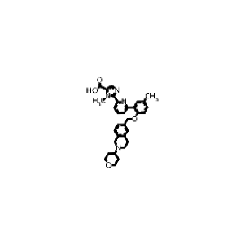 Cc1ccc(OCc2ccc3c(c2)CCN(C2CCOCC2)C3)c(-c2cccc(-c3ncc(C(=O)O)n3C)n2)c1